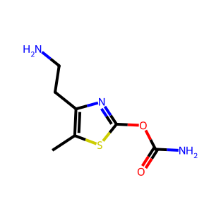 Cc1sc(OC(N)=O)nc1CCN